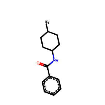 CC(C)C1CCC(NC(=O)c2ccccc2)CC1